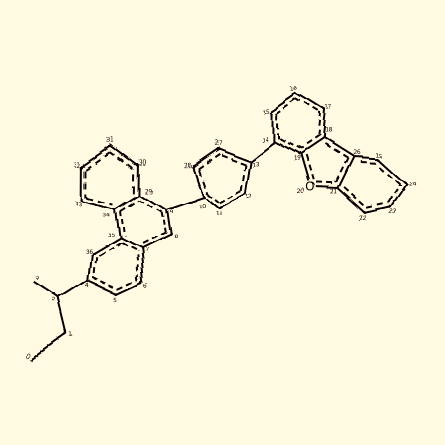 CCC(C)c1ccc2cc(-c3ccc(-c4cccc5c4oc4ccccc45)cc3)c3ccccc3c2c1